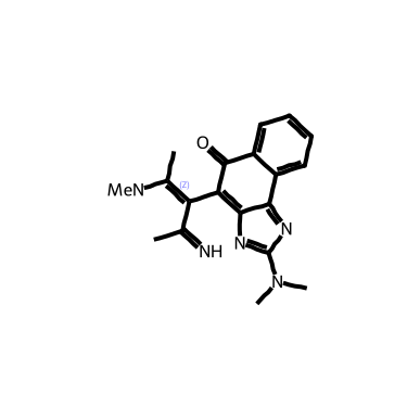 CN/C(C)=C(\C(C)=N)C1=C2N=C(N(C)C)N=C2c2ccccc2C1=O